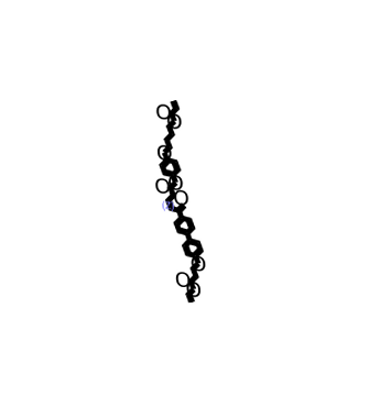 C=COC(=O)CCOc1ccc(-c2ccc(C(=C)/C=C\C(=O)C(=O)Oc3ccc(OCCCCOC(=O)C=C)cc3)cc2)cc1